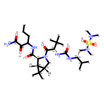 CCCC(NC(=O)[C@@H]1[C@@H]2[C@H](CN1C(=O)[C@@H](NC(=O)N[C@H](CN(C)S(=O)(=O)N(C)C)C(C)C)C(C)(C)C)C2(C)C)C(=O)C(N)=O